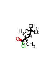 CCC(C)(C)CC(C)(C)C(=O)Cl